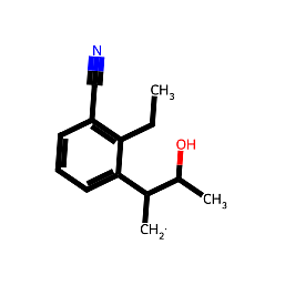 [CH2]C(c1cccc(C#N)c1CC)C(C)O